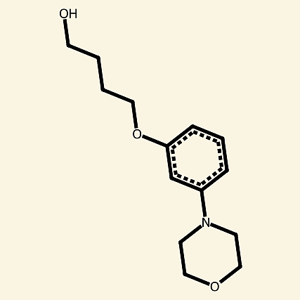 OCCCCOc1cccc(N2CCOCC2)c1